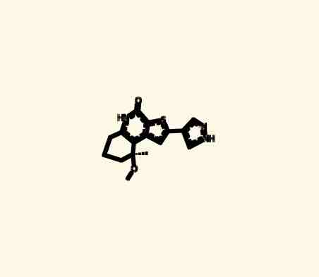 CO[C@@]1(C)CCCc2[nH]c(=O)c3sc(-c4cn[nH]c4)cc3c21